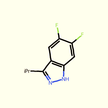 CC(C)c1n[nH]c2cc(F)c(F)cc12